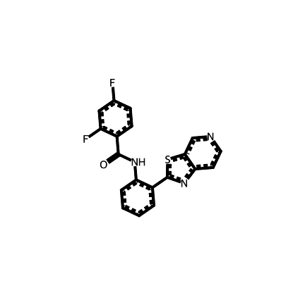 O=C(Nc1ccccc1-c1nc2ccncc2s1)c1ccc(F)cc1F